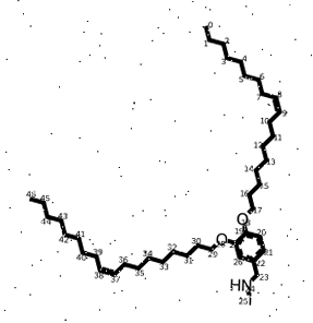 CCCCCCCC/C=C\CCCCCCCCOc1ccc(CNI)cc1OCCCCCCCC/C=C\CCCCCCCC